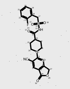 N#Cc1cc2c(nc1N1CCC(C(=O)NS(=O)(=O)Cc3ccccc3F)CC1)COC2=O